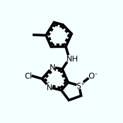 Cc1cccc(Nc2nc(Cl)nc3c2[S+]([O-])CC3)c1